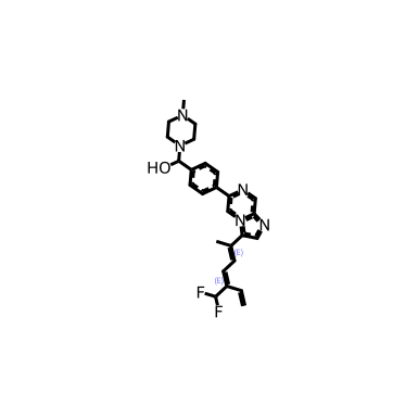 C=C/C(=C\C=C(/C)c1cnc2cnc(-c3ccc(C(O)N4CCN(C)CC4)cc3)cn12)C(F)F